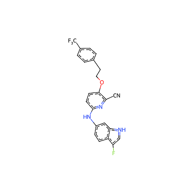 N#Cc1nc(Nc2ccc3c(F)c[nH]c3c2)ccc1OCCc1ccc(C(F)(F)F)cc1